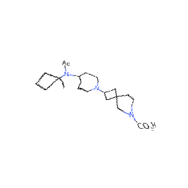 CC(=O)N(C1CCN(C2CC3(CCN(C(=O)O)C3)C2)CC1)C1(C)CCC1